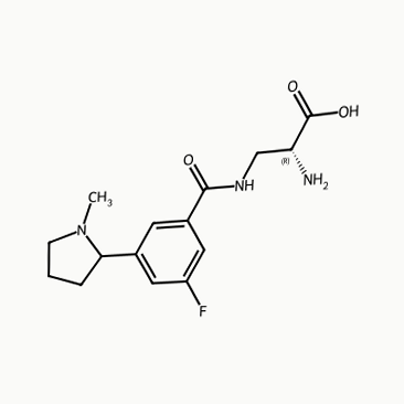 CN1CCCC1c1cc(F)cc(C(=O)NC[C@@H](N)C(=O)O)c1